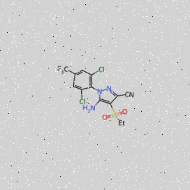 CCS(=O)(=O)c1c(C#N)nn(-c2c(Cl)cc(C(F)(F)F)cc2Cl)c1N